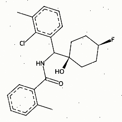 Cc1ccccc1C(=O)NC(c1cccc(C)c1Cl)[C@]1(O)CC[C@@H](F)CC1